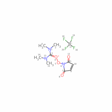 CN(C)C(=[O+]ON1C(=O)C=CC1=O)N(C)C.F[B-](F)(F)F